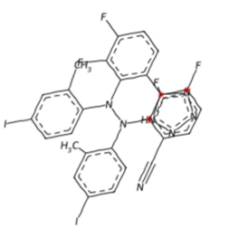 Cc1cc(I)ccc1N(c1c(C#N)ccc(F)c1F)N(c1ccc(I)cc1C)c1c(-c2nnn[nH]2)ccc(F)c1F